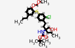 CCCc1ccc(OCOC)c(Sc2ccc(CCC(CO)(CCC)NC(=O)OC(C)(C)C)c(Cl)c2)c1